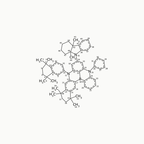 CC1(C)CCC(C)(C)c2cc(N3c4cc5c(cc4B4c6ccccc6N(c6ccccc6)c6cc(N7c8ccccc8C8(C)CCCCC78C)cc3c64)C(C)(C)CCC5(C)C)ccc21